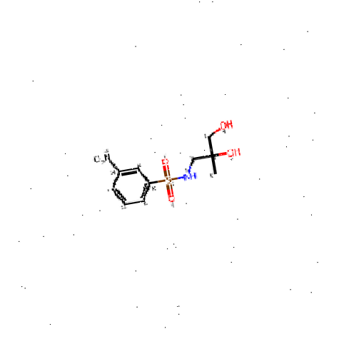 CC(O)(CO)CNS(=O)(=O)c1cccc([N+](=O)[O-])c1